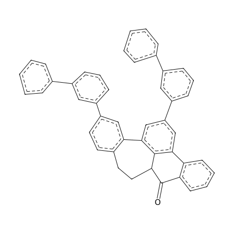 O=C1c2ccccc2-c2cc(-c3cccc(-c4ccccc4)c3)cc3c2C1CCc1ccc(-c2cccc(-c4ccccc4)c2)cc1-3